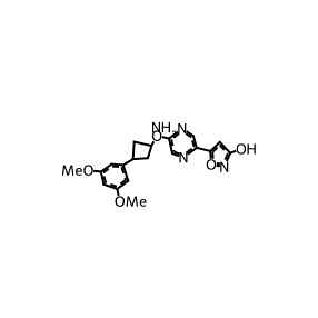 COc1cc(OC)cc(C2CC(Oc3cnc(-c4cc(O)no4)cn3)C2)c1.N